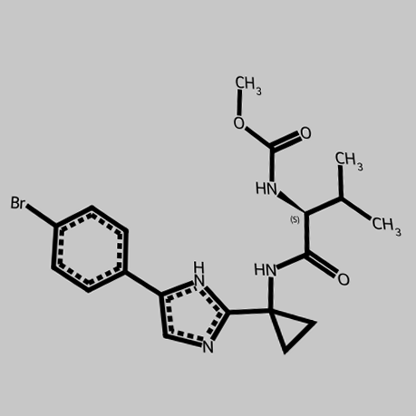 COC(=O)N[C@H](C(=O)NC1(c2ncc(-c3ccc(Br)cc3)[nH]2)CC1)C(C)C